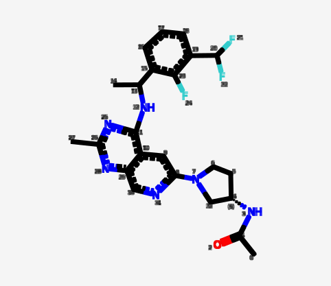 CC(=O)N[C@H]1CCN(c2cc3c(NC(C)c4cccc(C(F)F)c4F)nc(C)nc3cn2)C1